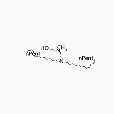 CCCCC/C=C\C/C=C\CCCCCCCCN(CCCCCCCC/C=C\C/C=C\CCCCC)CCCN(C)CCCO